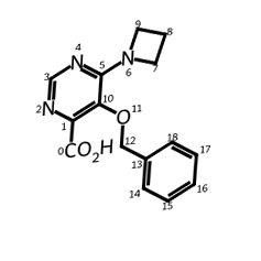 O=C(O)c1ncnc(N2CCC2)c1OCc1ccccc1